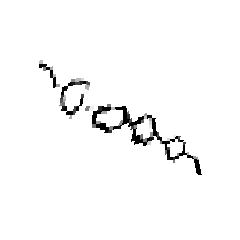 CCC[C@H]1CC[C@H](c2ccc(-c3ccc(C4=CCC(CC)CC4)cc3)cc2)CC1